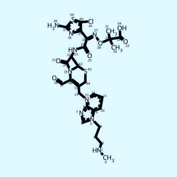 CNCCCn1cnc2c1ccc[n+]2CC1=C(C=O)N2C(=O)C(NC(=O)/C(=N\OC(C)(C)C(=O)O)c3nc(N)sc3Cl)C2SC1